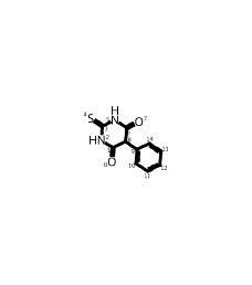 O=C1NC(=S)NC(=O)C1c1ccccc1